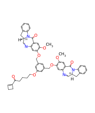 COc1cc2c(cc1OCc1cc(COc3cc4c(cc3OC)C(=O)N3c5ccccc5C[C@H]3C=N4)cc(OCCCCC(=O)C3=CCC3)c1)N=C[C@@H]1Cc3ccccc3N1C2=O